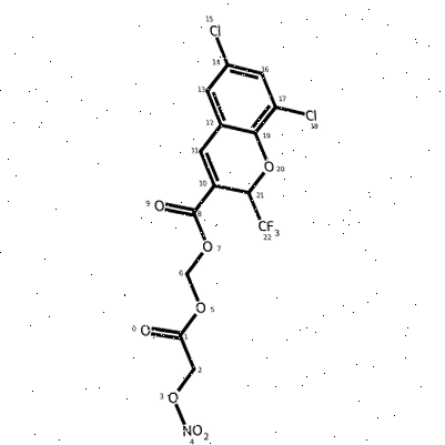 O=C(CO[N+](=O)[O-])OCOC(=O)C1=Cc2cc(Cl)cc(Cl)c2OC1C(F)(F)F